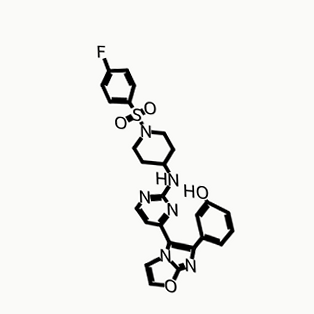 O=S(=O)(c1ccc(F)cc1)N1CCC(Nc2nccc(-c3c(-c4cccc(O)c4)nc4occn34)n2)CC1